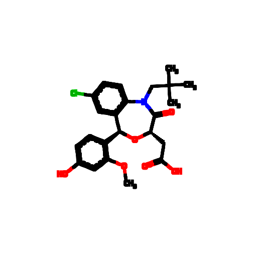 COc1cc(O)ccc1[C@@H]1O[C@@H](CC(=O)O)C(=O)N(CC(C)(C)C)c2ccc(Cl)cc21